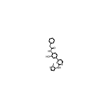 Cn1nccc1Nc1nccc(-c2ccc(NC(=O)Cc3ccccc3)c(O)c2)n1